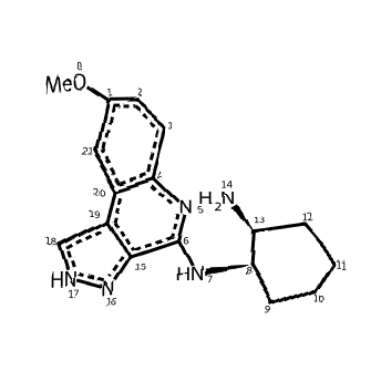 COc1ccc2nc(N[C@@H]3CCCC[C@@H]3N)c3n[nH]cc3c2c1